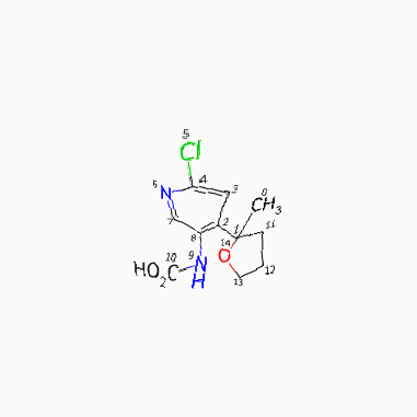 CC1(c2cc(Cl)ncc2NC(=O)O)CCCO1